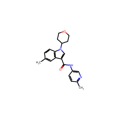 Cc1ccc2c(c1)c(C(=O)Nc1ccc(C)nc1)cn2C1CCOCC1